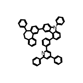 c1ccc(-c2cc(-c3ccccc3)nc(-c3cccc(-c4cccc5c4c4cc(-c6ccc7c(c6)-c6ccccc6CCC7c6ccccc6)ccc4n5-c4ccccc4)c3)c2)cc1